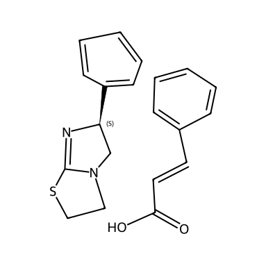 O=C(O)C=Cc1ccccc1.c1ccc([C@H]2CN3CCSC3=N2)cc1